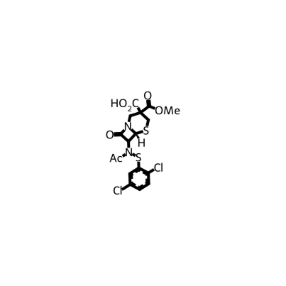 COC(=O)C1(C(=O)O)CS[C@@H]2C(N(Sc3cc(Cl)ccc3Cl)C(C)=O)C(=O)N2C1